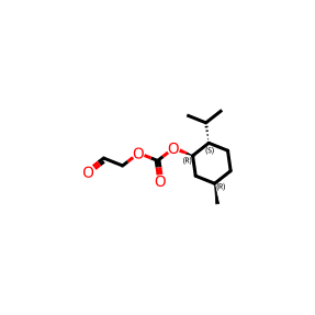 CC(C)[C@@H]1CC[C@@H](C)C[C@H]1OC(=O)OCC=O